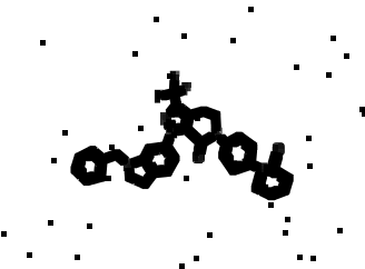 O=C1c2c(c(C(F)(F)F)nn2-c2ccc3c(c2)N(Cc2ccccc2)CC3)CCN1c1ccc(-n2ccccc2=O)cc1